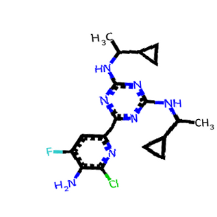 CC(Nc1nc(NC(C)C2CC2)nc(-c2cc(F)c(N)c(Cl)n2)n1)C1CC1